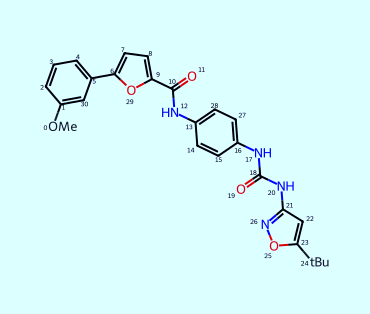 COc1cccc(-c2ccc(C(=O)Nc3ccc(NC(=O)Nc4cc(C(C)(C)C)on4)cc3)o2)c1